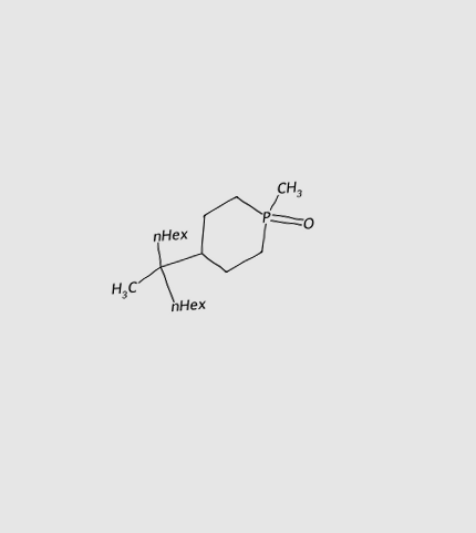 CCCCCCC(C)(CCCCCC)C1CCP(C)(=O)CC1